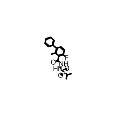 Cc1c(-c2ccccc2)ccc(F)c1C(=O)NNS(=O)(=O)C(C)C